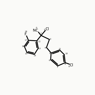 N#CC(Cl)(CCc1ccc(Cl)cc1)c1ccccc1F